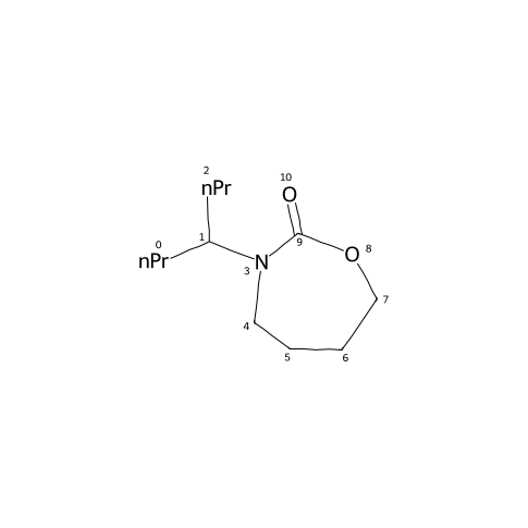 CCCC(CCC)N1CCCCOC1=O